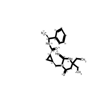 CCC1(CC)CC(=O)N(C[C@H]2C[C@@H]2C(=O)N[C@@H](C)c2ccccc2)C(=N)N1